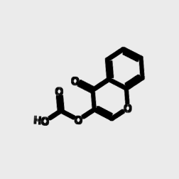 O=C(O)Oc1coc2ccccc2c1=O